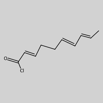 CC=CC=CCCC=CC(=O)Cl